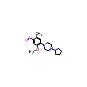 COc1cc(N=O)c(C)cc1N1CCN(C2CCCC2)CC1